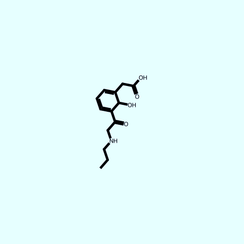 CCCNCC(=O)C1=C=CC=C(CC(=O)O)C1O